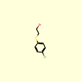 Clc1ccc(SCCBr)cc1